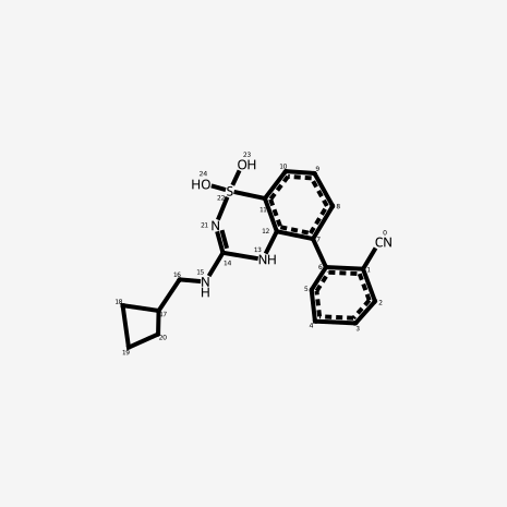 N#Cc1ccccc1-c1cccc2c1NC(NCC1CCC1)=NS2(O)O